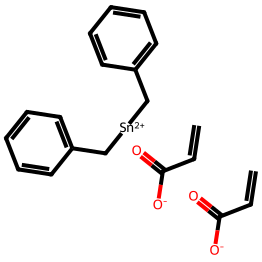 C=CC(=O)[O-].C=CC(=O)[O-].c1ccc([CH2][Sn+2][CH2]c2ccccc2)cc1